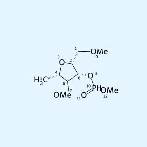 COC[C@H]1O[C@@H](C)C(OC)[C@H]1O[PH](=O)OC